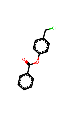 O=C(Oc1ccc(CCl)cc1)c1ccccc1